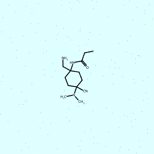 CN(C)C1(C#N)CCC(CN)(NC(=O)CI)CC1